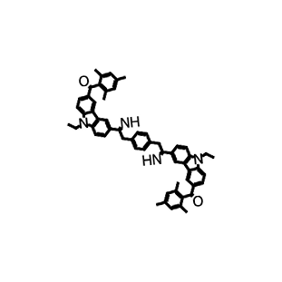 CCn1c2ccc(C(=N)Cc3ccc(CC(=N)c4ccc5c(c4)c4cc(C(=O)c6c(C)cc(C)cc6C)ccc4n5CC)cc3)cc2c2cc(C(=O)c3c(C)cc(C)cc3C)ccc21